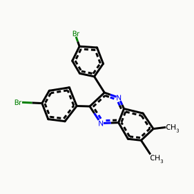 Cc1cc2nc(-c3ccc(Br)cc3)c(-c3ccc(Br)cc3)nc2cc1C